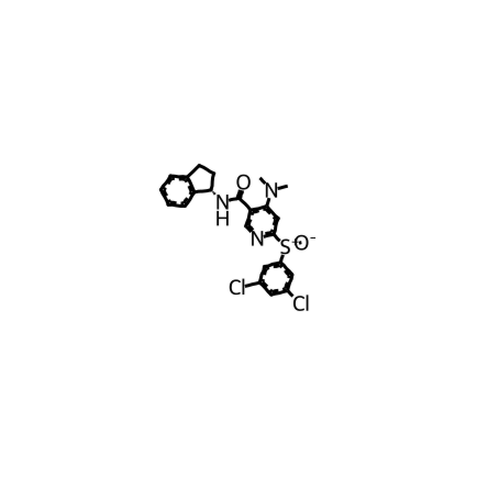 CN(C)c1cc([S+]([O-])c2cc(Cl)cc(Cl)c2)ncc1C(=O)N[C@H]1CCc2ccccc21